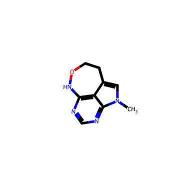 Cn1cc2c3c(ncnc31)NOCC2